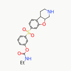 CCNC(=O)Oc1cccc(S(=O)(=O)c2ccc3c(c2)OC2CNCCC32)c1